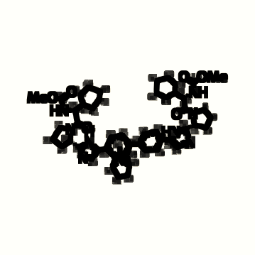 COC(=O)N[C@H](C(=O)N1CCC[C@@H]1c1ncc(-c2ccc(-c3ccc(-c4cnc([C@@H]5CCCN5C(=O)[C@@H](NC(=O)OC)C5CCCCC5)[nH]4)c4c3C3CCC4N3C)cc2)[nH]1)C1CCCCC1